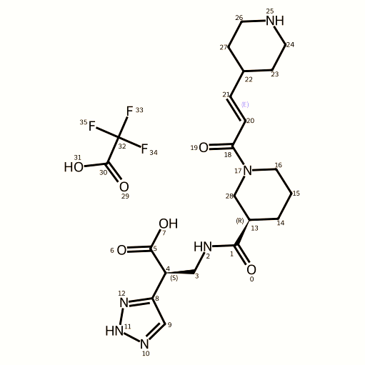 O=C(NC[C@H](C(=O)O)c1cn[nH]n1)[C@@H]1CCCN(C(=O)/C=C/C2CCNCC2)C1.O=C(O)C(F)(F)F